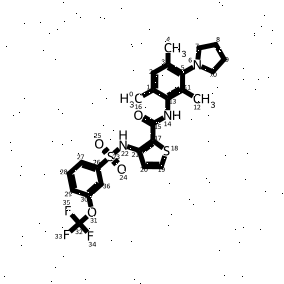 Cc1cc(C)c(N2CCCC2)c(C)c1NC(=O)c1sccc1NS(=O)(=O)c1cccc(OC(F)(F)F)c1